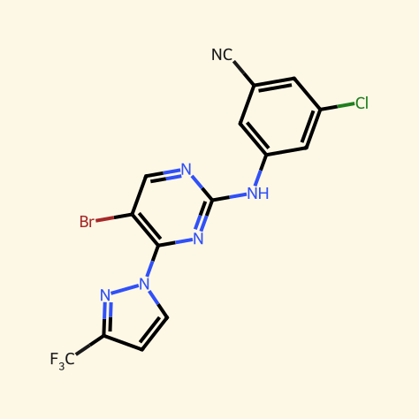 N#Cc1cc(Cl)cc(Nc2ncc(Br)c(-n3ccc(C(F)(F)F)n3)n2)c1